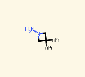 CCCC1(CCC)CN(N)C1